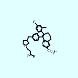 Cc1cc(F)ccc1C1=C(c2ccc(CC3CCN(CCC(F)F)C3)cc2)c2ccc(C(=O)O)cc2CCC1